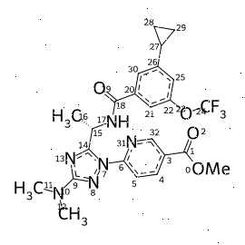 COC(=O)c1ccc(-n2nc(N(C)C)nc2[C@H](C)NC(=O)c2cc(OC(F)(F)F)cc(C3CC3)c2)nc1